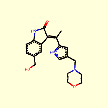 CC(=C1C(=O)Nc2ccc(CO)cc21)c1cc(CN2CCOCC2)c[nH]1